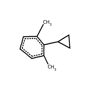 Cc1cccc(C)c1C1CC1